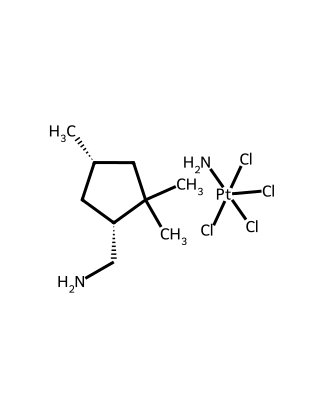 C[C@H]1C[C@@H](CN)C(C)(C)C1.[NH2][Pt]([Cl])([Cl])([Cl])[Cl]